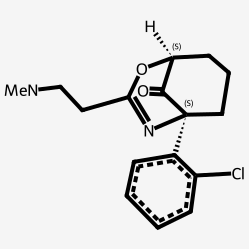 CNCCC1=N[C@]2(c3ccccc3Cl)CCC[C@H](O1)C2=O